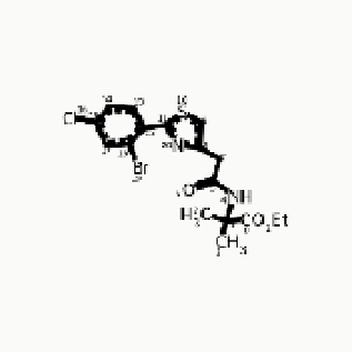 CCOC(=O)C(C)(C)NC(=O)Cc1csc(-c2ccc(Cl)cc2Br)n1